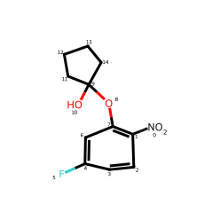 O=[N+]([O-])c1ccc(F)cc1OC1(O)CCCC1